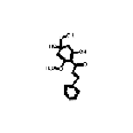 COC1=CC(O)(OC)CC(O)=C1C(=O)C=Cc1ccccc1